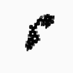 C[C@@H](COCCC(=O)N1CCN2c3ncc(C(F)(F)F)cc3OCCC2C1)Nc1cn[nH]c(=O)c1C(F)(F)F